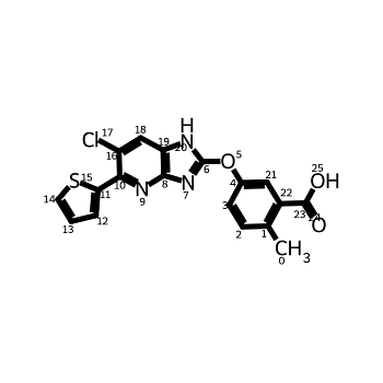 Cc1ccc(Oc2nc3nc(-c4cccs4)c(Cl)cc3[nH]2)cc1C(=O)O